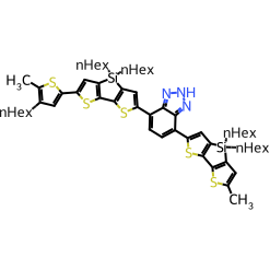 CCCCCCc1cc(-c2cc3c(s2)-c2sc(-c4ccc(-c5cc6c(s5)-c5sc(C)cc5[Si]6(CCCCCC)CCCCCC)c5n[nH]nc45)cc2[Si]3(CCCCCC)CCCCCC)sc1C